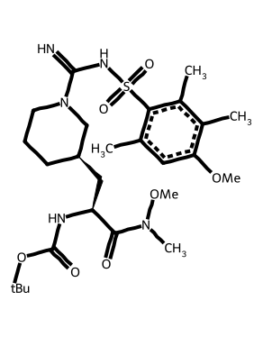 COc1cc(C)c(S(=O)(=O)NC(=N)N2CCC[C@H](C[C@H](NC(=O)OC(C)(C)C)C(=O)N(C)OC)C2)c(C)c1C